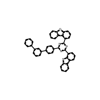 c1ccc(-c2cccc(-c3ccc(-c4nc(-c5cccc6c5sc5ccccc56)nc(-c5cccc6oc7ccccc7c56)n4)cc3)c2)cc1